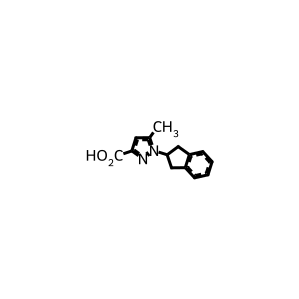 Cc1cc(C(=O)O)nn1C1Cc2ccccc2C1